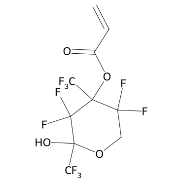 C=CC(=O)OC1(C(F)(F)F)C(F)(F)COC(O)(C(F)(F)F)C1(F)F